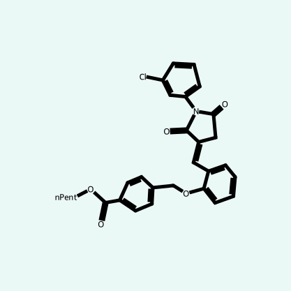 CCCCCOC(=O)c1ccc(COc2ccccc2/C=C2\CC(=O)N(c3cccc(Cl)c3)C2=O)cc1